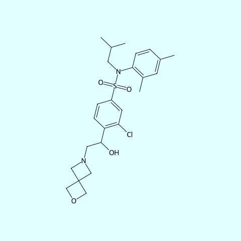 Cc1ccc(N(CC(C)C)S(=O)(=O)c2ccc(C(O)CN3CC4(COC4)C3)c(Cl)c2)c(C)c1